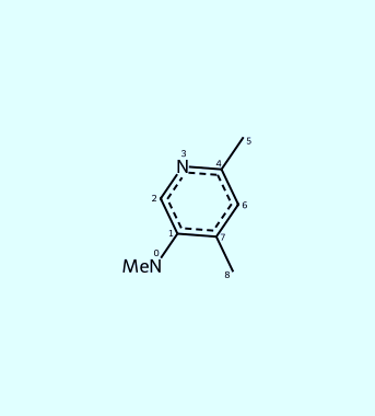 CNc1cnc(C)cc1C